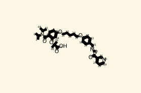 CC(C)N(C(=O)c1ccc(OCCCCCOc2ccc(CN=NC(=O)c3cccnc3)cc2)cc1OC(C)(C)C(=O)O)C(C)C